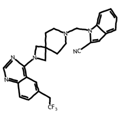 N#Cc1cc2ccccc2n1CN1CCC2(CC1)CN(c1ncnc3ccc(CC(F)(F)F)cc13)C2